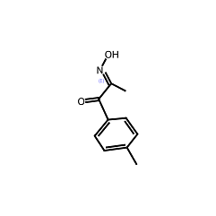 C/C(=N\O)C(=O)c1ccc(C)cc1